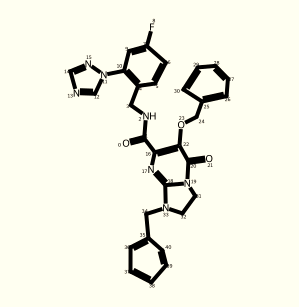 O=C(NCc1ccc(F)cc1-n1cncn1)c1nc2n(c(=O)c1OCc1ccccc1)CCN2Cc1ccccc1